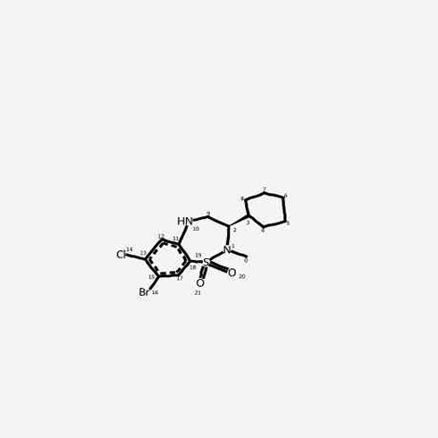 CN1[C@H](C2CCCCC2)CNc2cc(Cl)c(Br)cc2S1(=O)=O